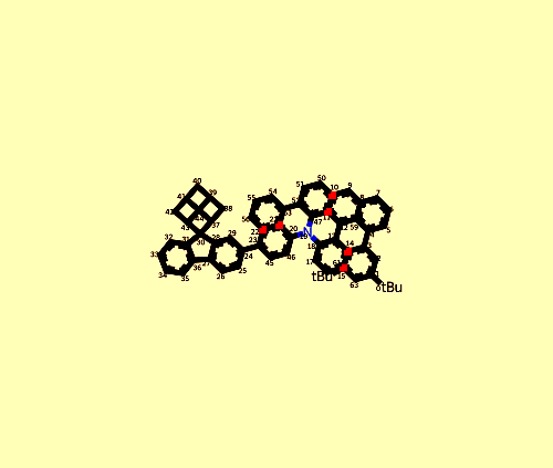 CC(C)(C)c1cc(-c2cccc3cccc(-c4ccccc4N(c4ccc(-c5ccc6c(c5)C5(c7ccccc7-6)C6CC7CC8CC5C786)cc4)c4ccccc4-c4ccccc4)c23)cc(C(C)(C)C)c1